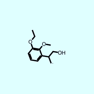 [CH2]C(CO)c1cccc(OCC)c1OC